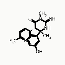 CN1C(=N)N[C@](C)(c2cccc(O)c2)[C@H](c2ccc(C(F)(F)F)nc2)C1=O